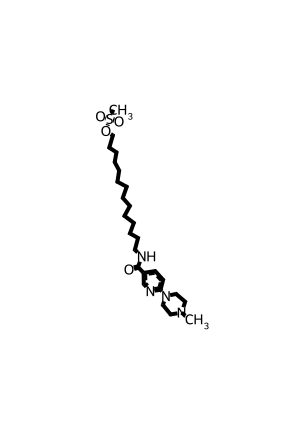 CN1CCN(c2ccc(C(=O)NCCCCCCCCCCCCCCOS(C)(=O)=O)cn2)CC1